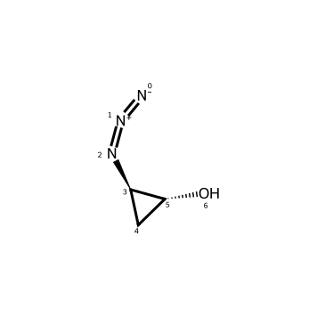 [N-]=[N+]=N[C@@H]1C[C@H]1O